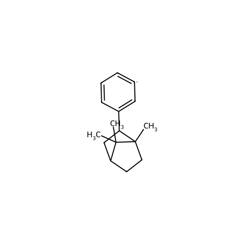 CC1(C)C2CCC1(C)C(c1c[c]ccc1)C2